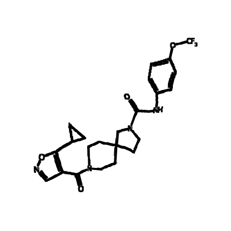 O=C(Nc1ccc(OC(F)(F)F)cc1)N1CCC2(CCN(C(=O)c3cnoc3C3CC3)CC2)C1